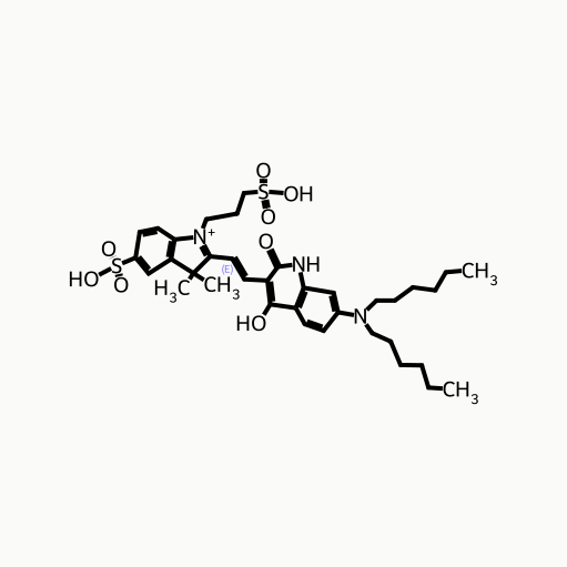 CCCCCCN(CCCCCC)c1ccc2c(O)c(/C=C/C3=[N+](CCCS(=O)(=O)O)c4ccc(S(=O)(=O)O)cc4C3(C)C)c(=O)[nH]c2c1